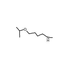 CNCCCCOC(C)C